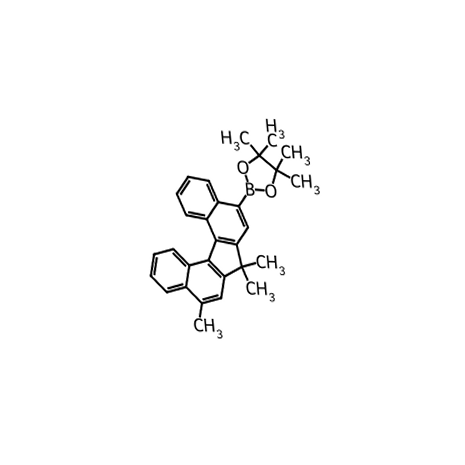 Cc1cc2c(c3ccccc13)-c1c(cc(B3OC(C)(C)C(C)(C)O3)c3ccccc13)C2(C)C